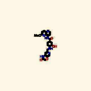 COc1ccc2nccc(NC(=O)[C@@H]3CCC(NCc4cc5c(cn4)OCC(=O)N5)C(O)C3)c2n1